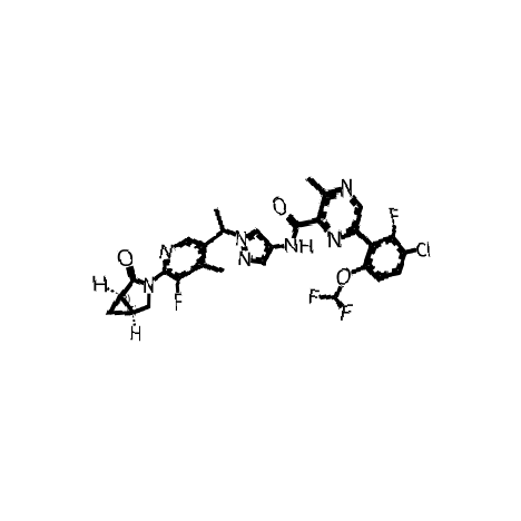 Cc1ncc(-c2c(OC(F)F)ccc(Cl)c2F)nc1C(=O)Nc1cnn(C(C)c2cnc(N3C[C@H]4C[C@H]4C3=O)c(F)c2C)c1